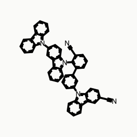 N#Cc1ccc2c(c1)c1ccccc1n2-c1cccc(-c2cccc(C#N)c2-n2c3ccccc3c3cc(-n4c5ccccc5c5ccccc54)ccc32)c1